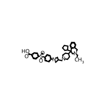 CCN1Cc2ccccc2C(C2CCCC2)(C2CCN(CC3CN(c4ccc(S(=O)(=O)c5ccc(C(=O)O)cc5)cc4)C3)CC2)C1